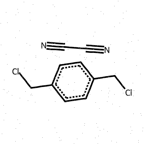 ClCc1ccc(CCl)cc1.N#CC#N